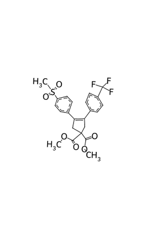 COC(=O)C1(C(=O)OC)CC(c2ccc(C(F)(F)F)cc2)=C(c2ccc(S(C)(=O)=O)cc2)C1